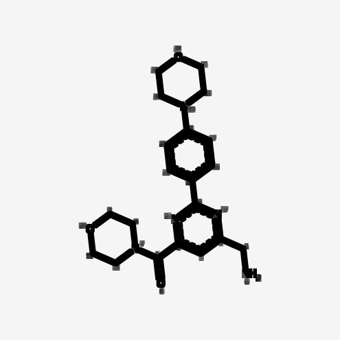 NCc1cc(C(=O)N2CCOCC2)nc(-c2ccc(N3CCOCC3)cc2)n1